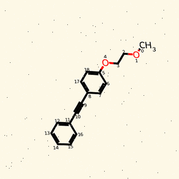 COCCOc1ccc(C#Cc2ccccc2)cc1